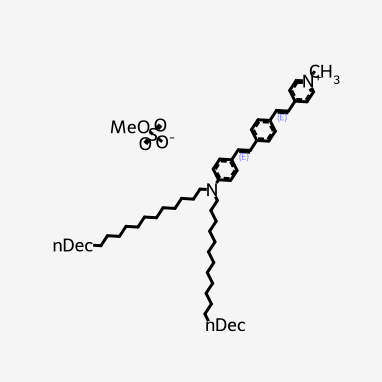 CCCCCCCCCCCCCCCCCCCCCCN(CCCCCCCCCCCCCCCCCCCCCC)c1ccc(/C=C/c2ccc(/C=C/c3cc[n+](C)cc3)cc2)cc1.COS(=O)(=O)[O-]